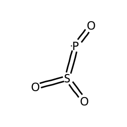 O=[P]=S(=O)=O